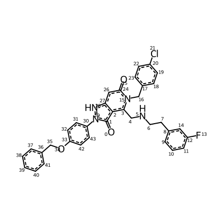 O=c1c2c(CNCCc3cccc(F)c3)n(Cc3ccc(Cl)cc3)c(=O)cc2[nH]n1-c1ccc(OCc2ccccc2)cc1